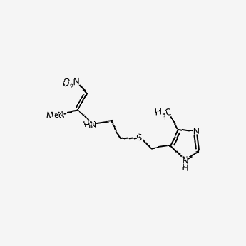 CNC(=C[N+](=O)[O-])NCCSCc1[nH]cnc1C